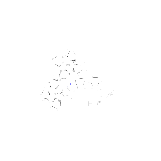 Cc1cc(C)cc(-c2cccc(-c3ccc(N(c4ccc5c(c4)C(c4ccccc4)(c4ccccc4)c4ccccc4-5)c4ccc5c(c4)C(c4ccccc4)(c4ccccc4)c4ccccc4-5)cc3)c2)c1